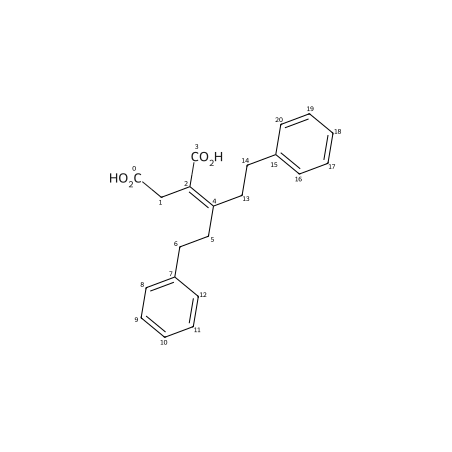 O=C(O)CC(C(=O)O)=C(CCc1ccccc1)CCc1ccccc1